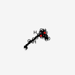 CC(C)[C@]12O[C@H]1[C@@H]1O[C@]13[C@]1(O[C@H]1C[C@H]1C4=C(CC[C@@]13C)C(=O)OC4)[C@@H]2OC(=O)OCCOCCOCCNC(=O)CCCCC1CCSS1